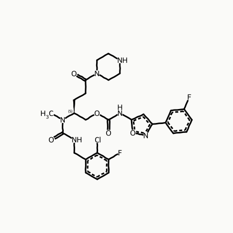 CN(C(=O)NCc1cccc(F)c1Cl)[C@@H](CCC(=O)N1CCNCC1)COC(=O)Nc1cc(-c2cccc(F)c2)no1